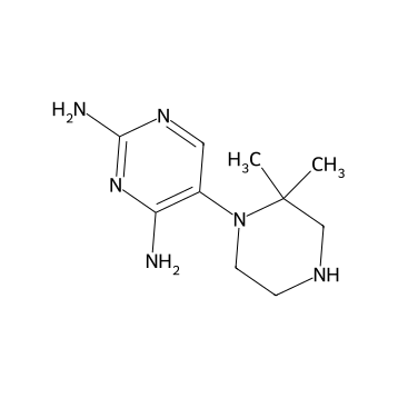 CC1(C)CNCCN1c1cnc(N)nc1N